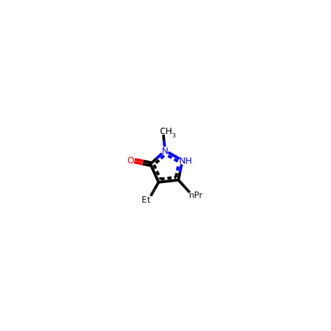 CCCc1[nH]n(C)c(=O)c1CC